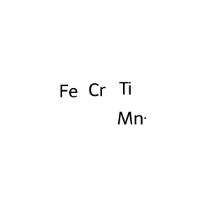 [Cr].[Fe].[Mn].[Ti]